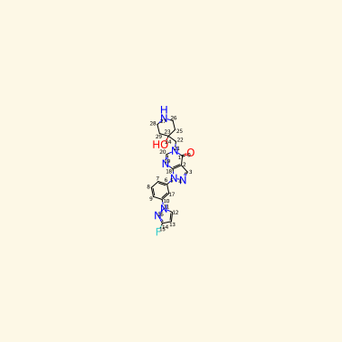 O=c1c2cnn(-c3cccc(-n4ccc(F)n4)c3)c2ncn1CC1(O)CCNCC1